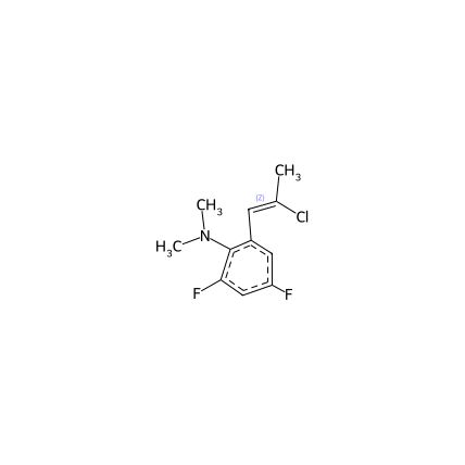 C/C(Cl)=C/c1cc(F)cc(F)c1N(C)C